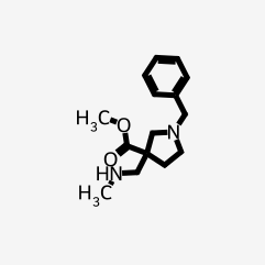 CNCC1(C(=O)OC)CCN(Cc2ccccc2)C1